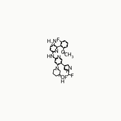 COc1cccc(F)c1-c1nc(Nc2cc(N3CCC[C@H](O)C3)c(-c3cnn(C(F)F)c3)cn2)ccc1N